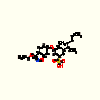 CCCCC(C)c1cc(S(=O)(=O)O)cc(Oc2ccc3c(OCC)noc3c2)c1C